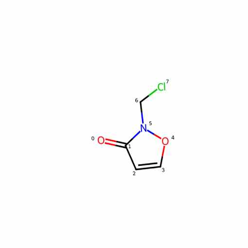 O=c1ccon1CCl